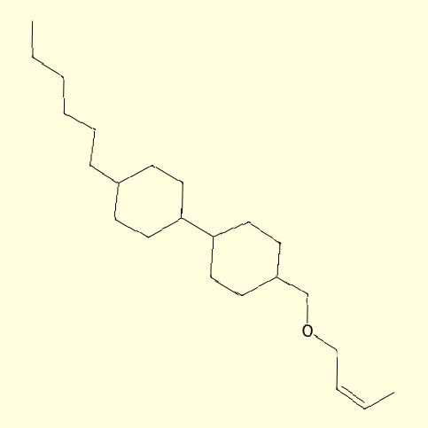 C/C=C\COCC1CCC(C2CCC(CCCCCC)CC2)CC1